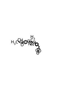 Cc1c(Oc2ccc(CC3COS(=O)OC3)cc2)ncnc1OC1CCN(C(=O)OCC(C)C)CC1